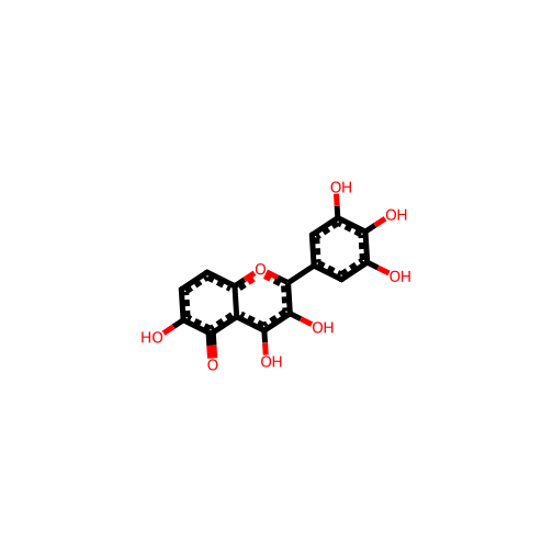 O=c1c(O)ccc2oc(-c3cc(O)c(O)c(O)c3)c(O)c(O)c1-2